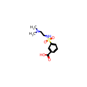 CN(C)CCNS(=O)(=O)c1cccc(C(=O)O)c1